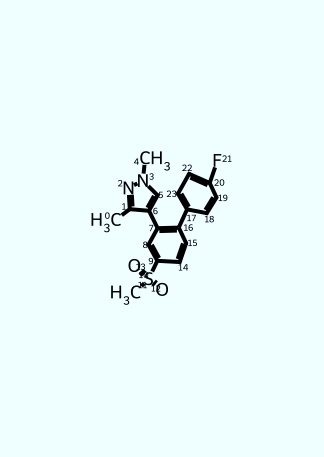 Cc1nn(C)cc1-c1cc(S(C)(=O)=O)ccc1-c1ccc(F)cc1